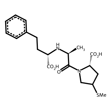 CSC1C[C@@H](C(=O)O)N(C(=O)[C@H](C)N[C@@H](CCc2ccccc2)C(=O)O)C1